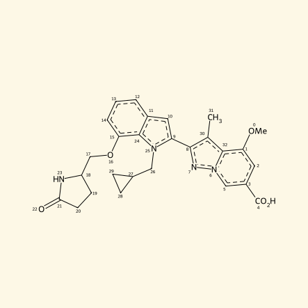 COc1cc(C(=O)O)cn2nc(-c3cc4cccc(OCC5CCC(=O)N5)c4n3CC3CC3)c(C)c12